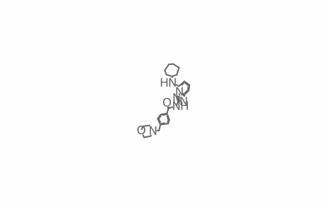 O=C(Nc1nc2cccc(NC3CCCCCC3)n2n1)c1ccc(CN2CCOCC2)cc1